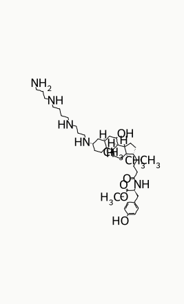 COC(=O)[C@H](Cc1ccc(O)cc1)NC(=O)CC[C@@H](C)[C@H]1CC[C@H]2[C@@H]3[C@H](O)C[C@@H]4C[C@@H](NCCCNCCCCNCCCN)CC[C@]4(C)[C@H]3CC[C@]12C